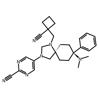 CN(C)[C@]1(c2ccccc2)CC[C@]2(CC1)CN(c1cnc(C#N)nc1)CN2CC1(C#N)CCC1